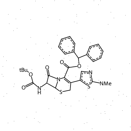 CNc1ncc(C2=C(C(=O)OC(c3ccccc3)c3ccccc3)N3C(=O)C(NC(=O)OC(C)(C)C)C3SC2)s1